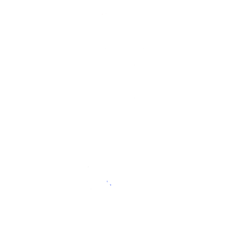 CC1(n2c3ccccc3c3cc(-c4cccc(-c5ccc(Br)cc5)c4)ccc32)CCCCC1